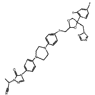 CC(C#N)n1ncn(-c2ccc(N3CCN(c4ccc(SCC5OCC(Cn6cncn6)(c6ccc(F)cc6F)O5)cc4)CC3)cc2)c1=O